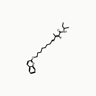 CCC(C)NC(=O)/C(F)=C(C)/C=C/CCCCCCCOc1ccc2ccccc2n1